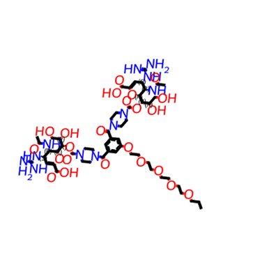 CCCOCCOCCOCCOCCOc1cc(C(=O)N2CCN(C(=O)O[C@@H]([C@@H]3OC(C(=O)O)=C[C@H](NC(=N)N)[C@H]3NC(C)=O)[C@H](O)CO)CC2)cc(C(=O)N2CCN(C(=O)O[C@@H]([C@@H]3OC(C(=O)O)=C[C@H](NC(=N)N)[C@H]3NC(C)=O)[C@H](O)CO)CC2)c1